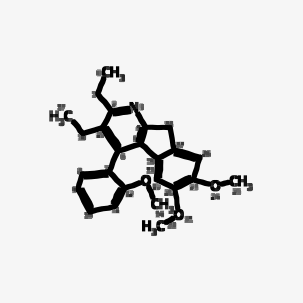 CCc1nc2c(c(-c3ccccc3OC)c1CC)-c1cc(OC)c(OC)cc1C2